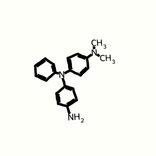 CN(C)c1ccc(N(c2ccccc2)c2ccc(N)cc2)cc1